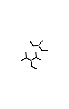 C[CH2][Al]([Cl])[CH2]C.[CH2]CN(C(C)C)C(C)C